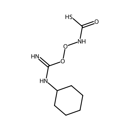 N=C(NC1CCCCC1)OONC(=O)S